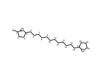 CC1CCC(CCCCCCCCCCCCC2CCCO2)O1